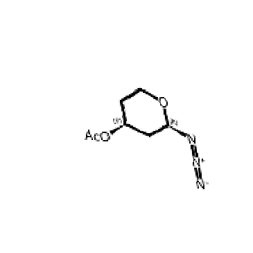 CC(=O)O[C@H]1CCO[C@@H](N=[N+]=[N-])C1